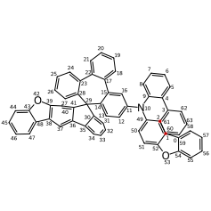 c1ccc(-c2ccccc2N(c2ccc3c(c2)-c2ccccc2-c2ccccc2C32c3ccccc3-c3cc4c(cc32)oc2ccccc24)c2ccc3oc4ccccc4c3c2)cc1